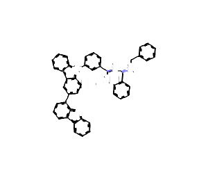 CN/C(=N\C(=N/Cc1ccccc1)c1ccccc1)c1cccc(-n2c3ccccc3c3cc(-c4cccc5c4sc4ccccc45)ccc32)c1